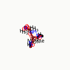 COc1cc2c(cc1OCc1cc(COc3cc4c(cc3OC)C(=O)N3c5ccccc5C[C@H]3C=N4)cc(OCCCC(=O)NCCC(C)(C)OCC(C)(C)C(=O)ON3C(=O)CCC3=O)c1)N=C[C@@H]1Cc3ccccc3N1C2=O